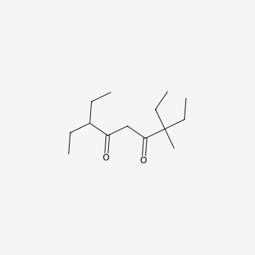 CCC(CC)C(=O)CC(=O)C(C)(CC)CC